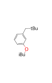 CCC(C)Oc1cccc(CC(C)(C)C)c1